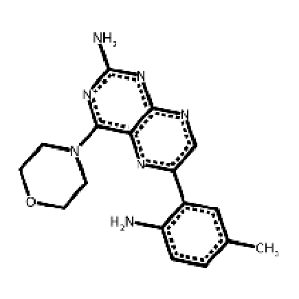 Cc1ccc(N)c(-c2cnc3nc(N)nc(N4CCOCC4)c3n2)c1